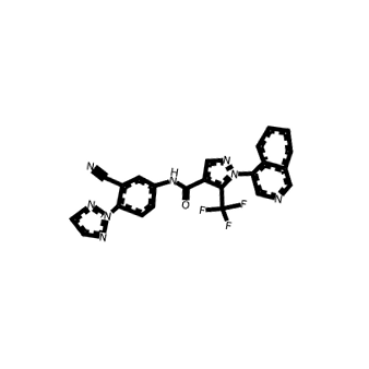 N#Cc1cc(NC(=O)c2cnn(-c3cncc4ccccc34)c2C(F)(F)F)ccc1-n1nccn1